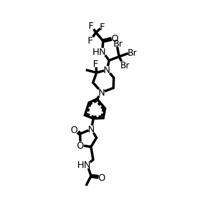 CC(=O)NCC1CN(c2ccc(N3CCN(C(NC(=O)C(F)(F)F)C(Br)(Br)Br)C(C)(F)C3)cc2)C(=O)O1